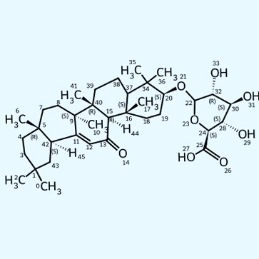 CC1(C)CC[C@]2(C)CC[C@]3(C)C(=CC(=O)[C@@H]4[C@@]5(C)CC[C@H](OC6O[C@H](C(=O)O)[C@@H](O)[C@H](O)[C@H]6O)C(C)(C)C5CC[C@]43C)[C@H]2C1